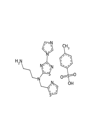 Cc1ccc(S(=O)(=O)O)cc1.NCCCN(Cc1nccs1)c1nc(-n2ccnc2)ns1